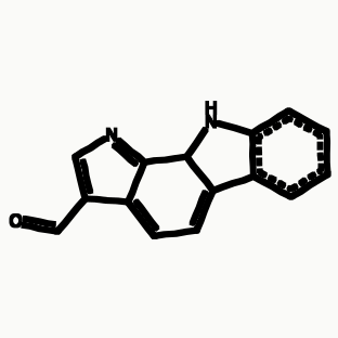 O=CC1=CN=C2C1=CC=C1c3ccccc3NC12